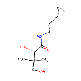 CCCCNC(=O)[C@@H](O)C(C)(C)CO